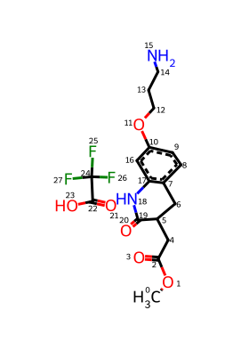 COC(=O)CC1Cc2ccc(OCCCN)cc2NC1=O.O=C(O)C(F)(F)F